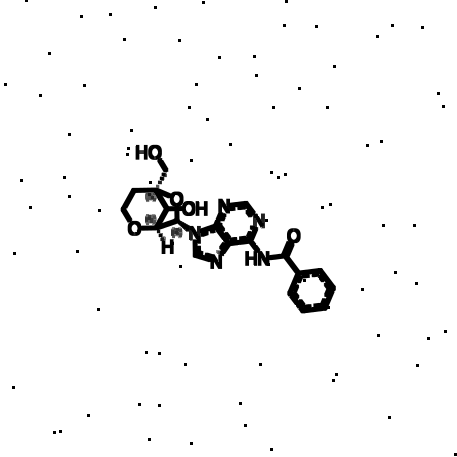 O=C(Nc1ncnc2c1ncn2[C@@H]1O[C@]2(CO)CCO[C@H]1C2O)c1ccccc1